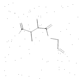 C=CCOC(=O)C(C)C(O)C(=O)O